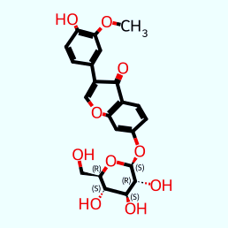 COc1cc(-c2coc3cc(O[C@@H]4O[C@H](CO)[C@@H](O)[C@H](O)[C@H]4O)ccc3c2=O)ccc1O